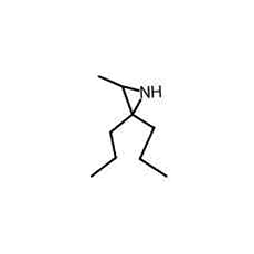 CCCC1(CCC)NC1C